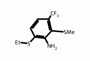 CCSc1ccc(C(F)(F)F)c(SC)c1N